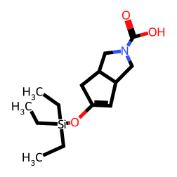 CC[Si](CC)(CC)OC1=CC2CN(C(=O)O)CC2C1